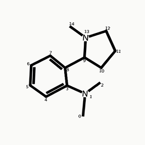 CN(C)c1ccccc1C1CCCN1C